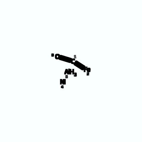 O=[C]=[Fe].[AlH3].[Ni]